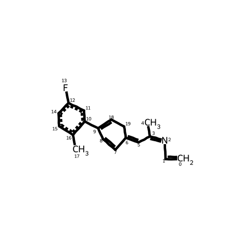 C=C/N=C(C)\C=C1\C=CC(c2cc(F)ccc2C)=CC1